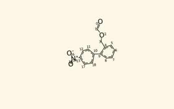 O=[C]OCc1ccccc1-c1ccc([N+](=O)[O-])cc1